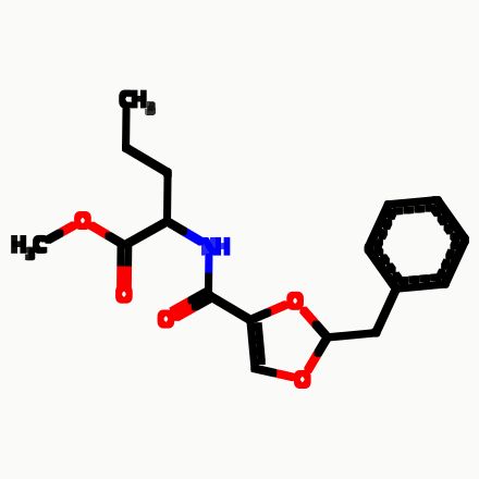 CCCC(NC(=O)C1=COC(Cc2ccccc2)O1)C(=O)OC